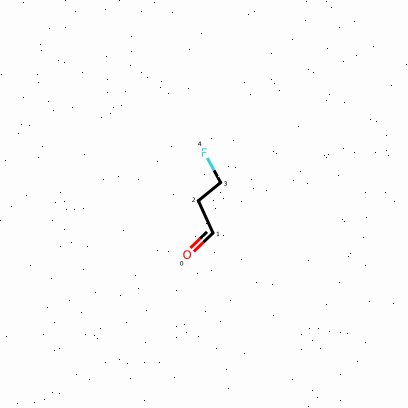 O=CCCF